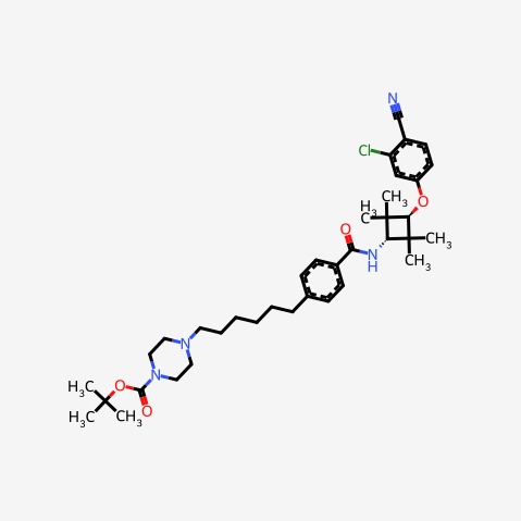 CC(C)(C)OC(=O)N1CCN(CCCCCCc2ccc(C(=O)N[C@H]3C(C)(C)[C@H](Oc4ccc(C#N)c(Cl)c4)C3(C)C)cc2)CC1